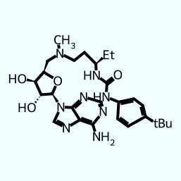 CC[C@H](CCN(C)C[C@H]1O[C@@H](n2cnc3c(N)ncnc32)[C@H](O)[C@H]1O)NC(=O)Nc1ccc(C(C)(C)C)cc1